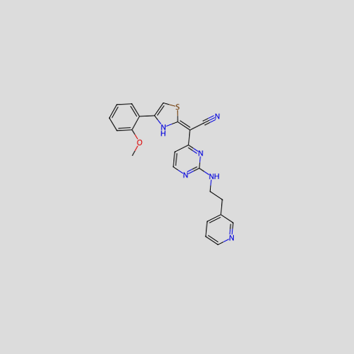 COc1ccccc1C1=CSC(=C(C#N)c2ccnc(NCCc3cccnc3)n2)N1